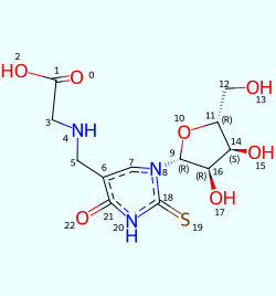 O=C(O)CNCc1cn([C@@H]2O[C@H](CO)[C@@H](O)[C@H]2O)c(=S)[nH]c1=O